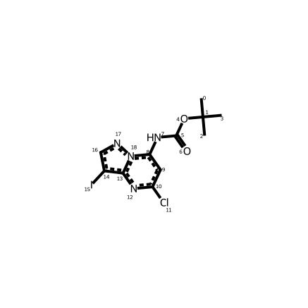 CC(C)(C)OC(=O)Nc1cc(Cl)nc2c(I)cnn12